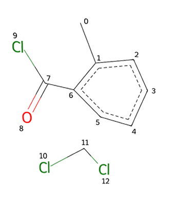 Cc1ccccc1C(=O)Cl.ClCCl